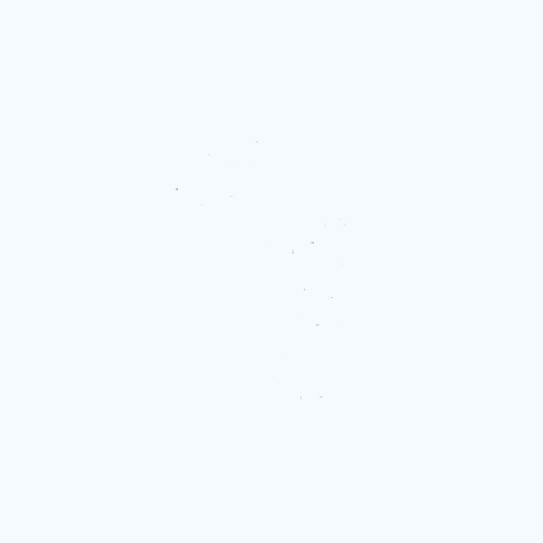 CC(CCCCC(CCCC(C)c1ccccc1)C1CC(=O)OC1=O)c1ccccc1